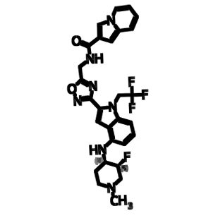 CN1CC[C@@H](Nc2cccc3c2cc(-c2noc(CNC(=O)c4cc5ccccn5c4)n2)n3CC(F)(F)F)[C@@H](F)C1